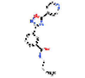 O=C(O)CCNC(=O)c1cccc(-c2noc(-c3ccncc3)n2)c1